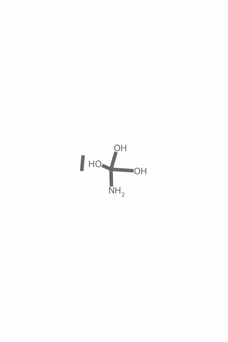 CC.NC(O)(O)O